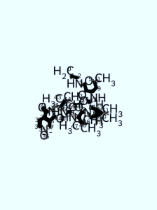 C=CCNC(=O)C(=O)C(CCC)NC(=O)[C@@H]1[C@@H]2[C@H](CN1C(=O)[C@@H](NC(=O)N[C@H](CN1C(=O)c3cc[n+]([O-])cc3C1=O)C(C)(C)C)C(C)(C)C)C2(C)C